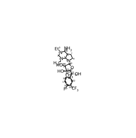 CCN1CN(C)C2C(CCN2[C@@H]2O[C@H]([C@H](O)c3ccc(F)c(C(F)(F)F)c3)[C@@](C)(O)[C@H]2O)C1N